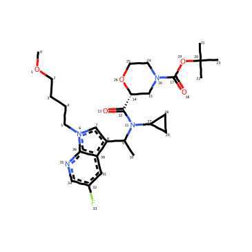 COCCCCn1cc(C(C)N(C(=O)[C@H]2CN(C(=O)OC(C)(C)C)CCO2)C2CC2)c2cc(F)cnc21